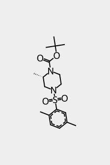 Cc1ccc(C)c(S(=O)(=O)N2CCN(C(=O)OC(C)(C)C)[C@@H](C)C2)c1